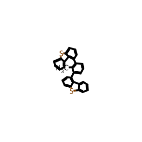 Cc1c(-c2cccc3sc4ccccc4c23)cccc1-c1cccc2sc3ccccc3c12